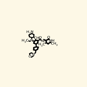 CCN(c1cc(-c2ccc(CN3CCOCC3)cc2)cc(C(=O)NCc2c(C)cc(C)[nH]c2=O)c1C)C1CCC(N)CC1